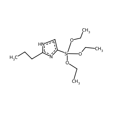 CCCc1nc([Si](OCC)(OCC)OCC)c[nH]1